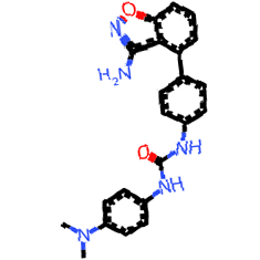 CN(C)c1ccc(NC(=O)Nc2ccc(-c3cccc4onc(N)c34)cc2)cc1